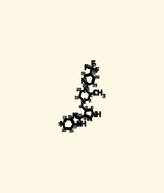 CC1CN(Cc2c[nH]nc2-c2nc3cnccc3[nH]2)CCN1c1ccc(C(F)(F)F)cn1